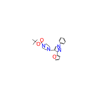 CC(C)(C)OC(=O)N1CCN(Cc2cn(-c3ccccc3)nc2-c2ccco2)CC1